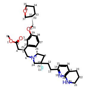 COC(=O)C[C@H](CN1CC[C@@](F)(CCc2ccc3c(n2)NCCC3)C1)c1cccc(OC[C@H]2CCCOC2)c1